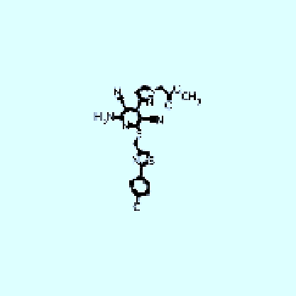 COC(=O)Cn1ccc(-c2c(C#N)c(N)nc(SCc3csc(-c4ccc(Cl)cc4)n3)c2C#N)n1